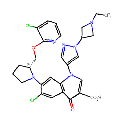 O=C(O)c1cn(-c2cnn(C3CN(CC(F)(F)F)C3)c2)c2cc(N3CCC[C@@H]3COc3ncccc3Cl)c(Cl)cc2c1=O